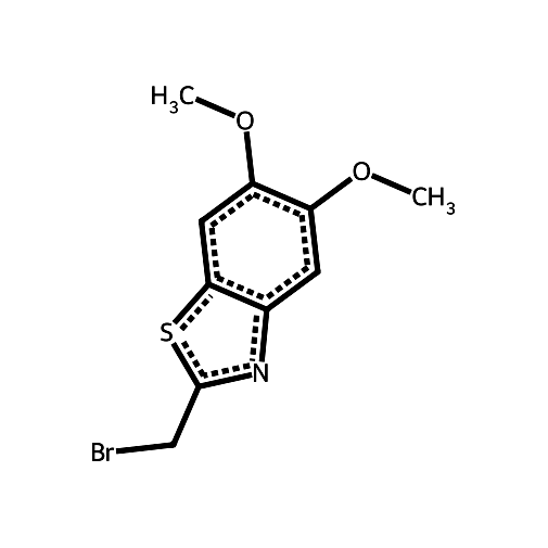 COc1cc2nc(CBr)sc2cc1OC